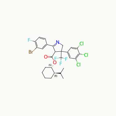 CC(C)[C@H]1CCCC[C@@H]1OC(=O)C1C(c2ccc(F)c(Br)c2)=NCC1(c1cc(Cl)c(Cl)c(Cl)c1)C(F)(F)F